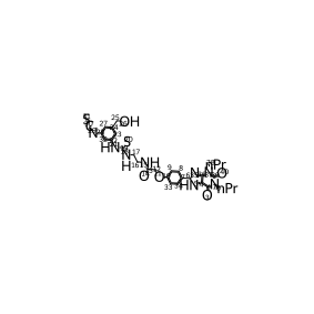 CCCn1c(=O)c2[nH]c(-c3ccc(OCC(=O)NCCNC(=S)Nc4cc(CO)cc(N=C=S)c4)cc3)nc2n(CCC)c1=O